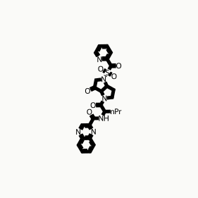 CCCC(NC(=O)c1cnc2ccccc2n1)C(=O)N1CCC2C1C(=O)CN2S(=O)(=O)C(=O)c1ccccn1